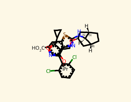 CC(C)Oc1cc(C(=O)O)cc2sc(N[C@@H]3[C@@H]4CC[C@H]3C[C@H](OCc3c(-c5c(Cl)cccc5Cl)noc3C3CC3)C4)nc12